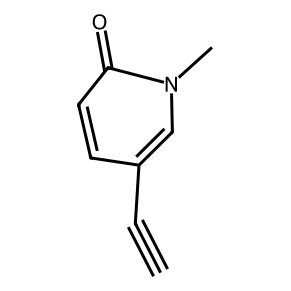 C#Cc1ccc(=O)n(C)c1